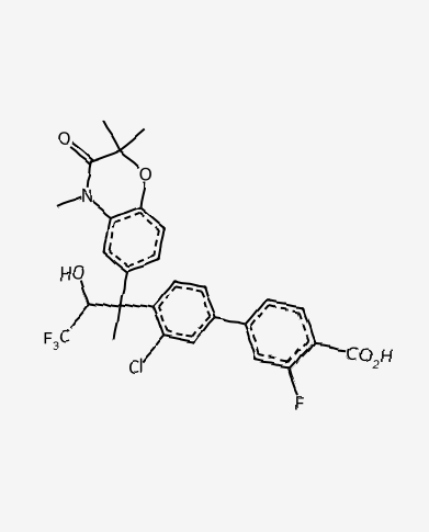 CN1C(=O)C(C)(C)Oc2ccc(C(C)(c3ccc(-c4ccc(C(=O)O)c(F)c4)cc3Cl)C(O)C(F)(F)F)cc21